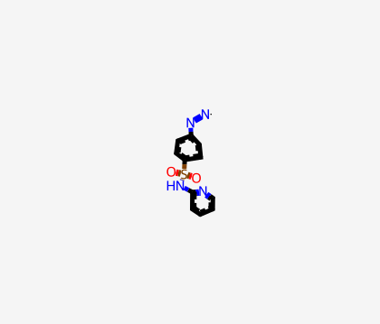 [N]=Nc1ccc(S(=O)(=O)Nc2ccccn2)cc1